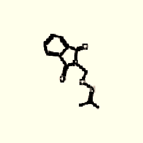 CC(C)=NOCN1C(=O)c2ccccc2C1=O